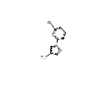 FC(F)(F)c1cnn(-c2cccc(Cl)n2)c1